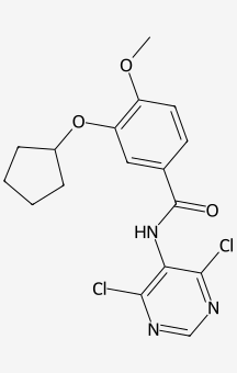 COc1ccc(C(=O)Nc2c(Cl)ncnc2Cl)cc1OC1CCCC1